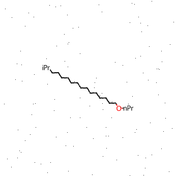 CCCOCCCCCCCCCCCCCCC(C)C